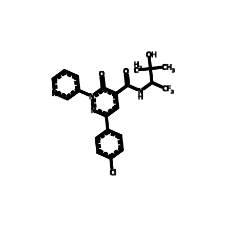 CC(C)(O)C(NC(=O)c1cc(-c2ccc(Cl)cc2)nn(-c2cccnc2)c1=O)C(F)(F)F